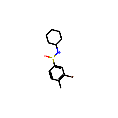 Cc1ccc([S+]([O-])NC2CCCCC2)cc1Br